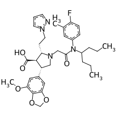 CCCC(CCC)N(C(=O)CN1C[C@H](c2cc(OC)c3c(c2)OCO3)[C@@H](C(=O)O)[C@@H]1CCn1cccn1)c1ccc(F)c(C)c1